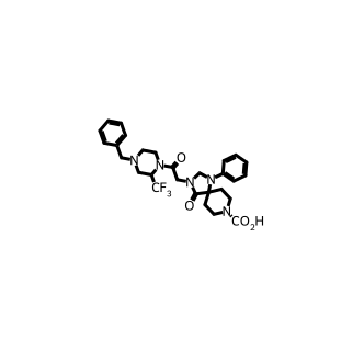 O=C(O)N1CCC2(CC1)C(=O)N(CC(=O)N1CCN(Cc3ccccc3)CC1C(F)(F)F)CN2c1ccccc1